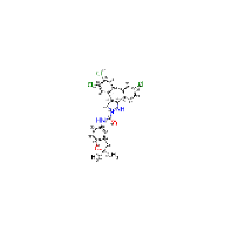 CC1(C)Cc2cc(NC(=O)N3CC(c4ccc(Cl)c(Cl)c4)=C(c4ccc(Cl)cc4)N3)ccc2O1